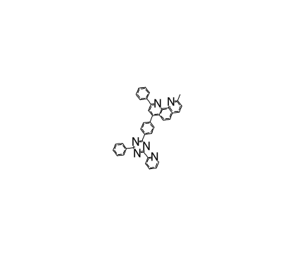 Cc1ccc2ccc3c(-c4ccc(-c5nc(-c6ccccc6)nc(-c6ccccn6)n5)cc4)cc(-c4ccccc4)nc3c2n1